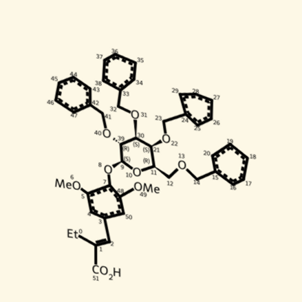 CCC(=Cc1cc(OC)c(O[C@@H]2O[C@H](COCc3ccccc3)[C@H](OCc3ccccc3)[C@H](OCc3ccccc3)[C@H]2OCc2ccccc2)c(OC)c1)C(=O)O